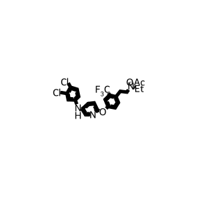 CCN(CCc1ccc(Oc2ccc(Nc3ccc(Cl)c(Cl)c3)cn2)cc1C(F)(F)F)OC(C)=O